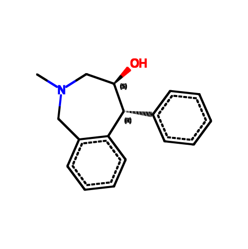 CN1Cc2ccccc2[C@@H](c2ccccc2)[C@H](O)C1